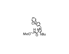 CCCCc1cn(Cc2ccc(-c3ccccc3C#N)cc2)nc1C(=O)NCCOC